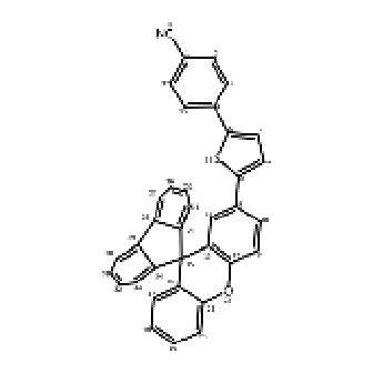 N#Cc1ccc(-c2ccc(-c3ccc4c(c3)C3(c5ccccc5O4)c4ccccc4-c4ccccc43)s2)cc1